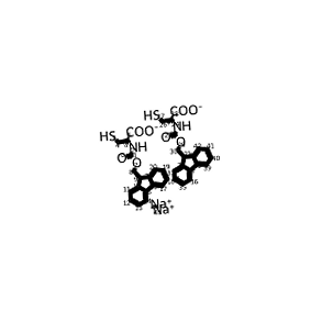 O=C(N[C@@H](CS)C(=O)[O-])OCC1c2ccccc2-c2ccccc21.O=C(N[C@@H](CS)C(=O)[O-])OCC1c2ccccc2-c2ccccc21.[Na+].[Na+]